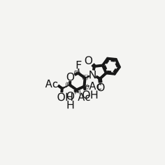 CC(=O)C(O)[C@H]1O[C@H](F)[C@@H](N2C(=O)c3ccccc3C2=O)[C@](O)(C(C)=O)[C@@]1(O)C(C)=O